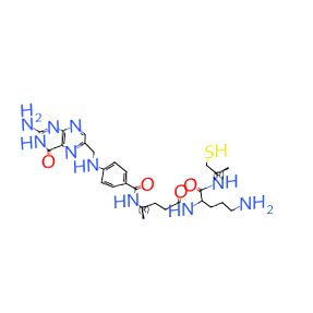 C[C@H](CCC(=O)NC(CCCN)C(=O)N[C@H](C)CS)NC(=O)c1ccc(NCc2cnc3nc(N)[nH]c(=O)c3n2)cc1